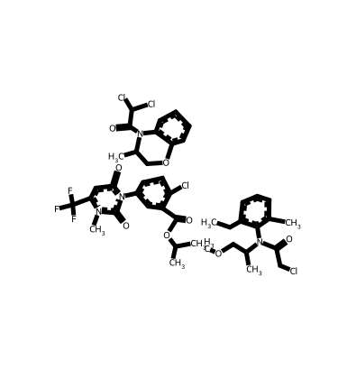 CC(C)OC(=O)c1cc(-n2c(=O)cc(C(F)(F)F)n(C)c2=O)ccc1Cl.CC1COc2ccccc2N1C(=O)C(Cl)Cl.CCc1cccc(C)c1N(C(=O)CCl)C(C)COC